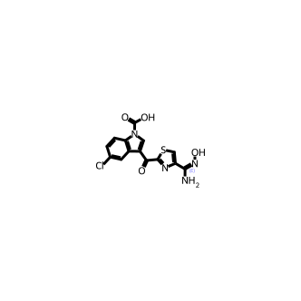 N/C(=N/O)c1csc(C(=O)c2cn(C(=O)O)c3ccc(Cl)cc23)n1